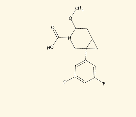 COC1CC2CC2(c2cc(F)cc(F)c2)CN1C(=O)O